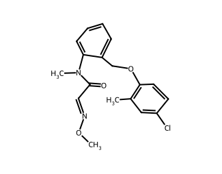 CON=CC(=O)N(C)c1ccccc1COc1ccc(Cl)cc1C